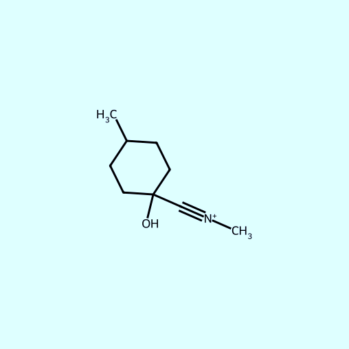 C[N+]#CC1(O)CCC(C)CC1